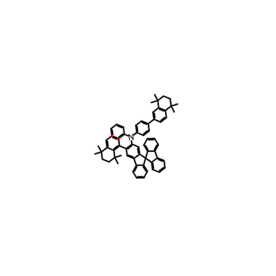 CC1(C)CCC(C)(C)c2cc(-c3ccc(N(c4ccccc4)c4cc5c(cc4-c4cccc6c4C(C)(C)CCC6(C)C)-c4ccccc4C54c5ccccc5-c5ccccc54)cc3)ccc21